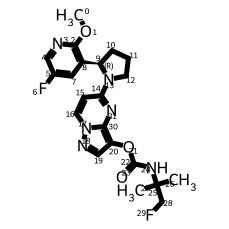 COc1ncc(F)cc1[C@H]1CCCN1c1ccn2ncc(OC(=O)NC(C)(C)CF)c2n1